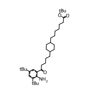 CC(C)(C)OC(=O)CCCCCCC1CCC(CCCCC(=O)c2cc(C(C)(C)C)cc(C(C)(C)C)c2N)CC1